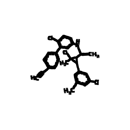 C#Cc1ccc(-c2cc(NC(=C)C3C(c4cc(C)cc(Cl)c4)C3(C)Cl)ccc2Cl)cc1